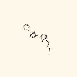 CC(C)=CCc1ccc(-c2ccc(-c3cccs3)s2)s1